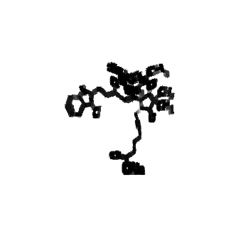 COC(=O)CCCC#CC[C@H]1C(=O)C(C)(C)[C@@H](O[Si](C)(C)C(C)(C)C)[C@@H]1C=CC(CCc1sc2ccccc2c1Cl)O[Si](C)(C)C(C)(C)C